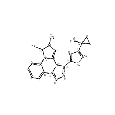 N#CN1C=C2N(c3ccccc3-c3nnc(-c4nc(C5(O)CC5)no4)n32)C1F